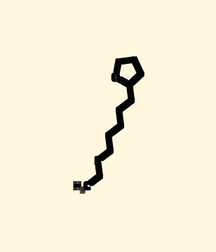 CCSCCCCCC1CCCO1